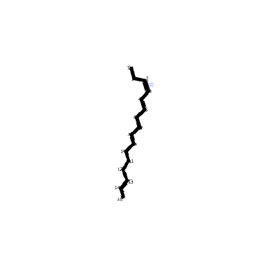 CC/[C]=C\CCCCCCCCCCCC